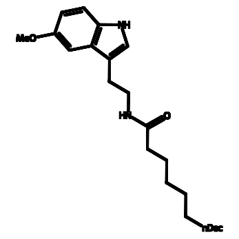 CCCCCCCCCCCCCCCC(=O)NCCc1c[nH]c2ccc(OC)cc12